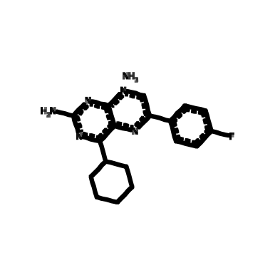 N.Nc1nc(C2CCCCC2)c2nc(-c3ccc(F)cc3)cnc2n1